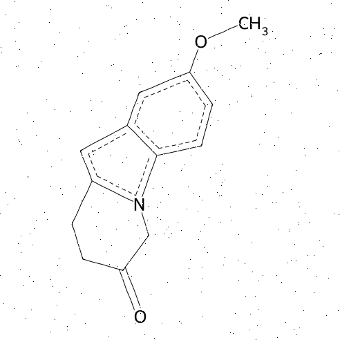 COc1ccc2c(c1)cc1n2CC(=O)CC1